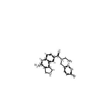 CC(C)CN(Cc1ccc(Br)nn1)C(=O)c1ccc2nc(N)c3c(c2c1)COC3